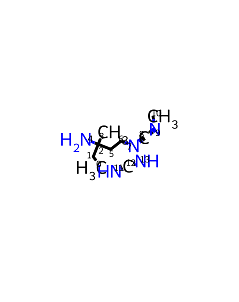 CCC(C)(N)CCN=C=NC.N=C=N